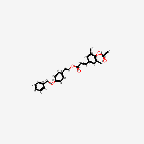 CC(=O)Oc1c(C)cc(/C=C/C(=O)OCCc2ccc(OCc3ccccc3)cc2)cc1C